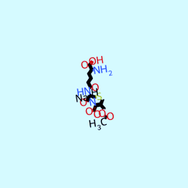 CC(=O)OCC1=C(C(=O)[O-])N2C(=O)C(NC(=O)CCCC(N)C(=O)O)[C@@H]2SC1.[Na+]